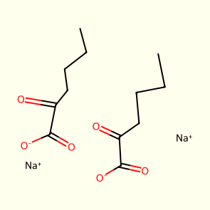 CCCCC(=O)C(=O)[O-].CCCCC(=O)C(=O)[O-].[Na+].[Na+]